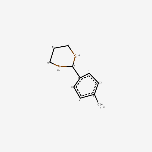 FC(F)(F)c1ccc(C2SCCCS2)cc1